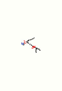 CCCCCCCCCCC(CCCCCCCCC(=O)OCCC(CCCCC)CCCCC)COC(=O)C1CCCN(C)C1